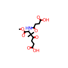 COC(=O)[C@H](NC(=O)CCC(=O)O)C(C)(C)C(=O)CCC(=O)O